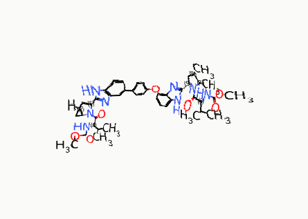 COC(=O)N[C@H](C(=O)N1C2C[C@@H]2C[C@H]1c1nc2cc(-c3ccc(Oc4cccc5[nH]c([C@@H]6C[C@@H](C)[C@@H](C)N6C(=O)[C@@H](NC(=O)OC)C(C)C)nc45)cc3)ccc2[nH]1)C(C)C